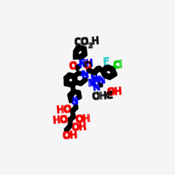 O=C(O)c1ccc(NC(=O)[C@@H]2c3cccc(C4=CCN(C[C@H](O)[C@@H](O)[C@H](O)[C@H](O)CO)CC4)c3CCN2C(=O)/C=C/c2c(-n3cnnn3)ccc(Cl)c2F)cc1.O=CO